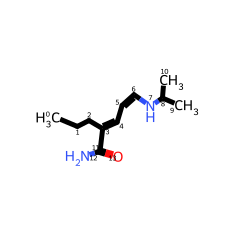 CCC/C(=C\C=C/NC(C)C)C(N)=O